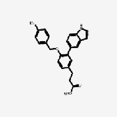 COC(=O)CCc1ccc(OCc2ccc(C(C)(C)C)cc2)c(-c2ccc3[nH]ccc3c2)c1